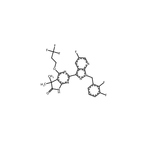 CC1(C)C(=O)Nc2nc(-c3nn(Cc4cccc(F)c4F)c4ncc(F)cc34)nc(OCCC(F)(F)F)c21